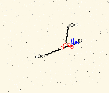 CCCCCCCCC=CCCCCCCCCOCC(COC(=O)NCCNCC)OCCCCCCCCC=CCCCCCCCC